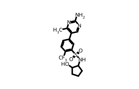 Cc1nc(N)ncc1-c1ccc(C(F)(F)F)c(S(=O)(=O)NC2CCCC2O)c1